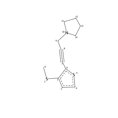 CSc1ccsc1C#CCN1CCCC1